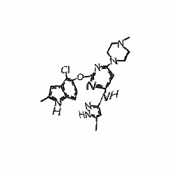 Cc1cc(Nc2cc(N3CCN(C)CC3)nc(Oc3ccc4[nH]c(C)cc4c3Cl)n2)n[nH]1